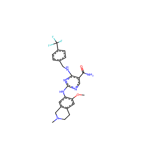 COc1cc2c(cc1Nc1ncc(C(N)=O)c(NCc3ccc(C(F)(F)F)cc3)n1)CN(C)CC2